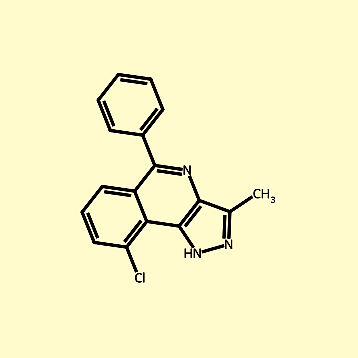 Cc1n[nH]c2c1nc(-c1ccccc1)c1cccc(Cl)c12